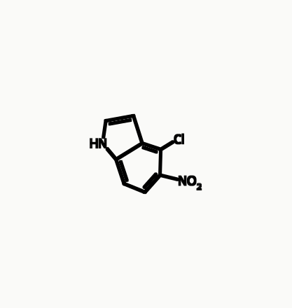 O=[N+]([O-])c1ccc2[nH]ccc2c1Cl